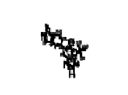 Cn1ncc2cc(N(Cc3nn[nH]n3)C(=O)OC(C)(C)C)ccc21